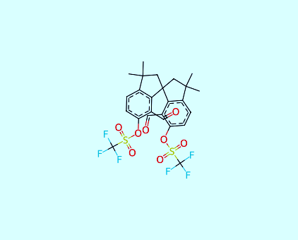 CC1(C)CC2(CC(C)(C)c3ccc(OS(=O)(=O)C(F)(F)F)c(C=O)c32)c2c1ccc(OS(=O)(=O)C(F)(F)F)c2C=O